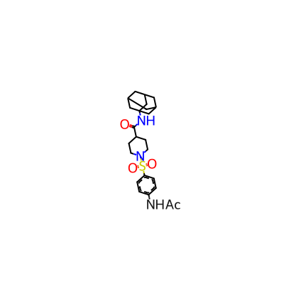 CC(=O)Nc1ccc(S(=O)(=O)N2CCC(C(=O)NC34CC5CC(CC(C5)C3)C4)CC2)cc1